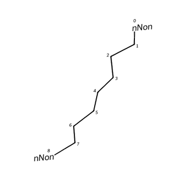 CCC[CH]CCCCCCCCCCCCCCCCCCCCC